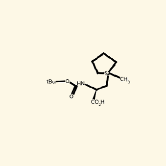 CC(C)(C)OC(=O)N[C@@H](C[Si]1(C)CCCC1)C(=O)O